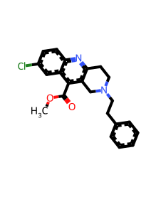 COC(=O)c1c2c(nc3ccc(Cl)cc13)CCN(CCc1ccccc1)C2